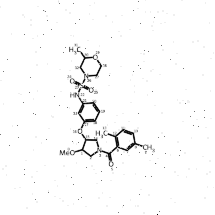 COC1CN(C(=O)c2cc(C)ccc2C)CC1Oc1cccc(NS(=O)(=O)N2CCOC(C)C2)c1